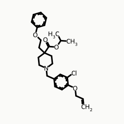 C=CCOc1ccc(CN2CCC(CCOc3ccccc3)(C(=O)OC(C)C)CC2)cc1Cl